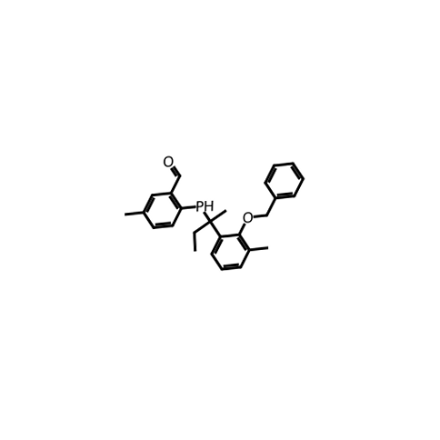 CCC(C)(Pc1ccc(C)cc1C=O)c1cccc(C)c1OCc1ccccc1